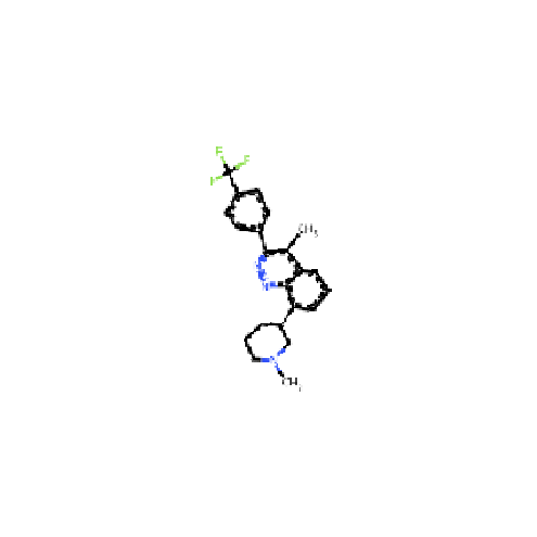 Cc1c(-c2ccc(C(F)(F)F)cc2)nnc2c([C@@H]3CCCN(C)C3)cccc12